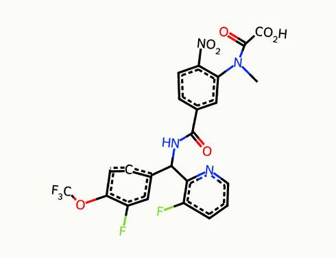 CN(C(=O)C(=O)O)c1cc(C(=O)NC(c2ccc(OC(F)(F)F)c(F)c2)c2ncccc2F)ccc1[N+](=O)[O-]